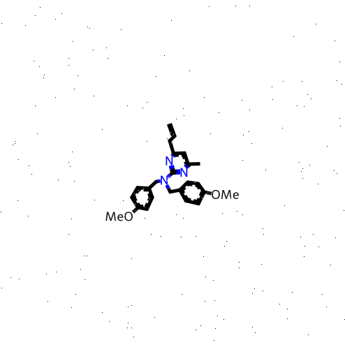 C=CCc1cc(C)nc(N(Cc2ccc(OC)cc2)Cc2ccc(OC)cc2)n1